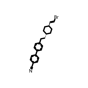 N#Cc1ccc(-c2ccc(CC[C@H]3CC[C@H](/C=C/Br)CC3)cc2)cc1